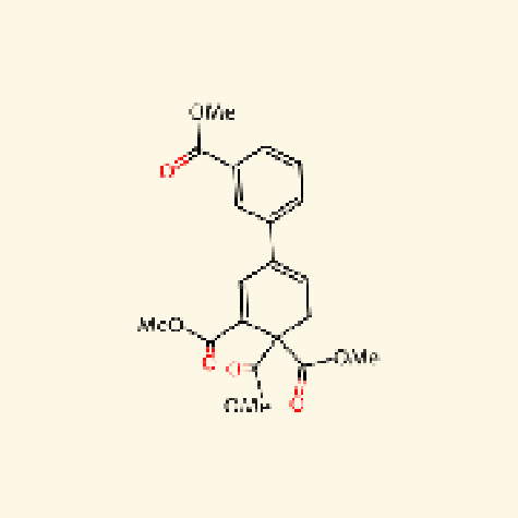 COC(=O)C1=CC(c2cccc(C(=O)OC)c2)=CCC1(C(=O)OC)C(=O)OC